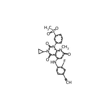 C#Cc1ccc(Nc2cc(=O)n(C)c3c2c(=O)n(C2CC2)c(=O)n3-c2cccc(S(C)(=O)=O)c2)c(F)c1